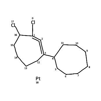 ClC1=C=C(C2CCCCCCC2)CCCCC1Cl.[Pt]